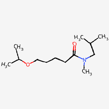 CC(C)CN(C)C(=O)CCCCOC(C)C